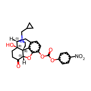 O=C(Oc1ccc([N+](=O)[O-])cc1)Oc1ccc2c3c1O[C@@H]1C(=O)CC[C@]4(O)[C@H](C2)N(CC2CC2)CC[C@@]314